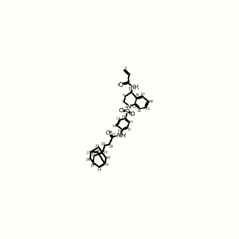 C=CC(=O)NC1CCN(S(=O)(=O)c2ccc(NC(=O)CCC34CC5CC(CC(C5)C3)C4)cc2)c2ccccc21